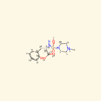 CN1CCN(S(=O)(=O)N[C@@H](Cc2ccccc2)C(=O)O)CC1